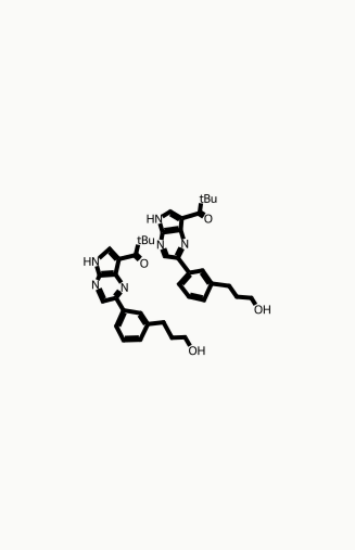 CC(C)(C)C(=O)c1c[nH]c2ncc(-c3cccc(CCCO)c3)nc12.CC(C)(C)C(=O)c1c[nH]c2ncc(-c3cccc(CCCO)c3)nc12